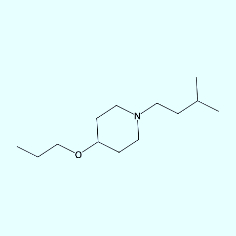 CCCOC1CCN(CCC(C)C)CC1